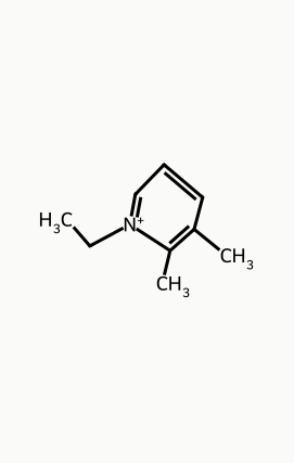 CC[n+]1cccc(C)c1C